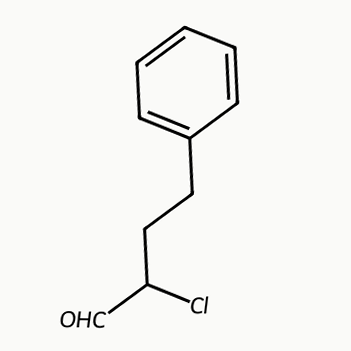 O=CC(Cl)CCc1ccccc1